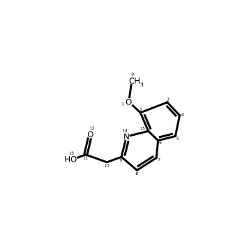 COc1cccc2ccc(CC(=O)O)nc12